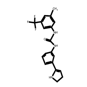 Cc1cc(NC(=O)Nc2cccc(C3=CCCN3)c2)cc(C(F)(F)F)c1